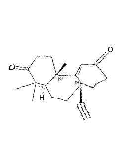 C#C[C@]12CCC(=O)C=C1[C@@]1(C)CCC(=O)C(C)(C)[C@@H]1CC2